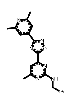 Cc1cc(-c2noc(-c3cc(C)nc(NCC(C)C)n3)n2)cc(C)n1